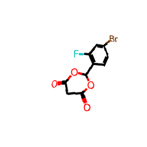 O=C1CC(=O)OC(c2ccc(Br)cc2F)O1